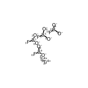 [O-]B([O-])F.[O-]B([O-])F.[O-]B([O-])F.[O-]B([O-])F.[Ti+4].[Ti+4]